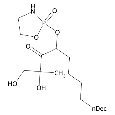 CCCCCCCCCCCCCCC(OP1(=O)NCCO1)C(=O)C(C)(O)CO